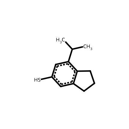 CC(C)c1cc(S)cc2c1CCC2